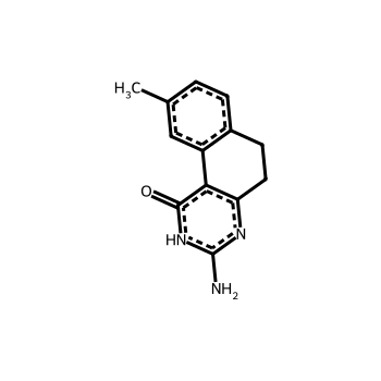 Cc1ccc2c(c1)-c1c(nc(N)[nH]c1=O)CC2